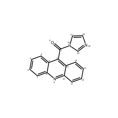 O=C(c1c2ccccc2nc2ccccc12)n1ccnc1